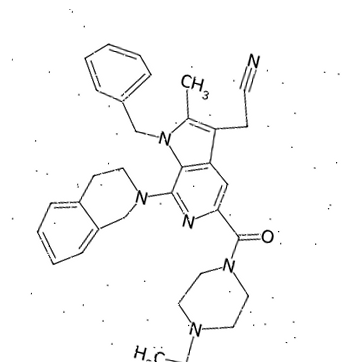 CCN1CCN(C(=O)c2cc3c(CC#N)c(C)n(Cc4ccccc4)c3c(N3CCc4ccccc4C3)n2)CC1